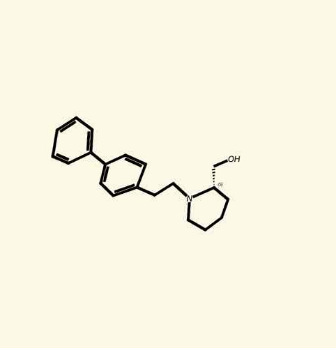 OC[C@@H]1CCCCN1CCc1ccc(-c2ccccc2)cc1